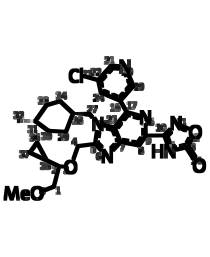 COCC(OCc1nc2cc(-c3noc(=O)[nH]3)nc(-c3cncc(Cl)c3)c2n1C[C@H]1CC[C@H](C)CC1)C1CC1